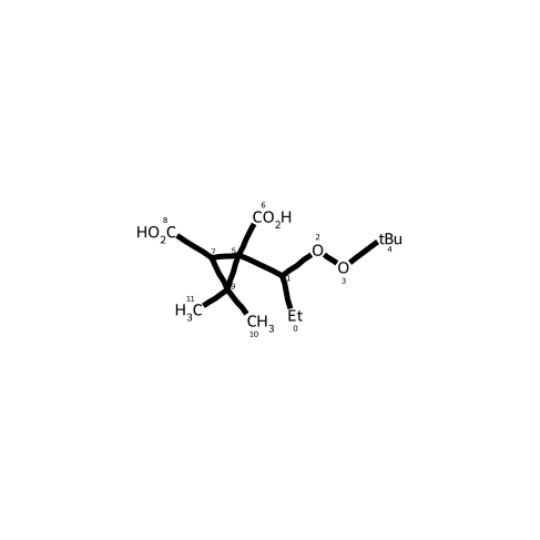 CCC(OOC(C)(C)C)C1(C(=O)O)C(C(=O)O)C1(C)C